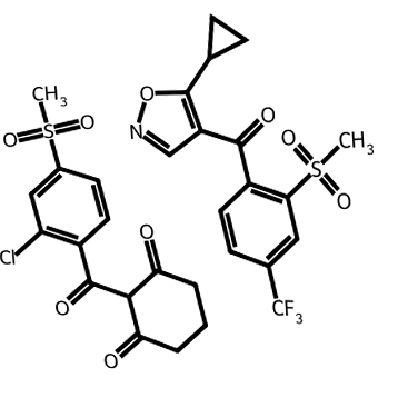 CS(=O)(=O)c1cc(C(F)(F)F)ccc1C(=O)c1cnoc1C1CC1.CS(=O)(=O)c1ccc(C(=O)C2C(=O)CCCC2=O)c(Cl)c1